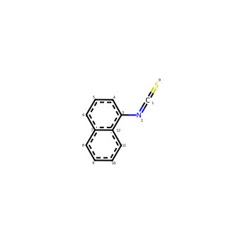 S=C=Nc1cc[c]c2ccccc12